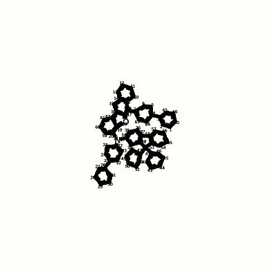 c1ccc(-c2ccc(-c3c4ccccc4cc4c3oc3c(N(c5ccc(-c6ccccc6)cc5)c5ccc6c(c5)C(c5ccccc5)(c5ccccc5)c5ccccc5-6)cccc34)cc2)cc1